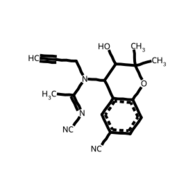 C#CCN(C(C)=NC#N)C1c2cc(C#N)ccc2OC(C)(C)C1O